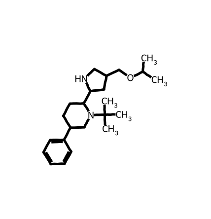 CC(C)OCC1CNC(C2CCC(c3ccccc3)CN2C(C)(C)C)C1